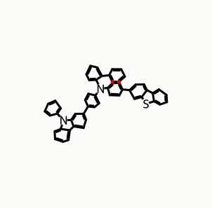 c1ccc(-c2ccccc2N(c2ccc(-c3ccc4c(c3)sc3ccccc34)cc2)c2ccc(-c3ccc4c5ccccc5n(-c5ccccc5)c4c3)cc2)cc1